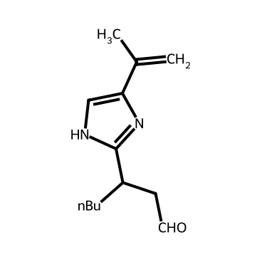 C=C(C)c1c[nH]c(C(CC=O)CCCC)n1